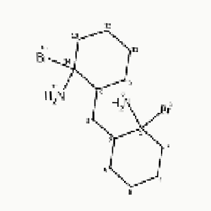 NC1(Br)CCCCC1CC1CCCCC1(N)Br